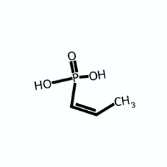 C/C=C\P(=O)(O)O